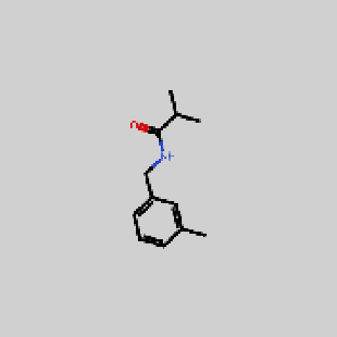 Cc1cccc(CNC(=O)C(C)C)c1